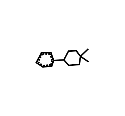 CC1(C)CCC(c2c[c]ccc2)CC1